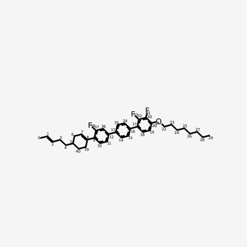 C/C=C/CCC1CC=C(c2ccc(-c3ccc(-c4ccc(OCCCCCCCC)c(F)c4F)cc3)cc2F)CC1